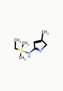 CCS(C)(C)NC1=NCC(C)=C1